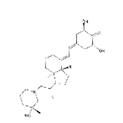 C=C1[C@H](O)CC(=C/C=C2\CCC[C@]3(C)[C@@H]([C@H](C)CN4CCC[C@@](C)(O)C4)CC[C@@H]23)C[C@H]1O